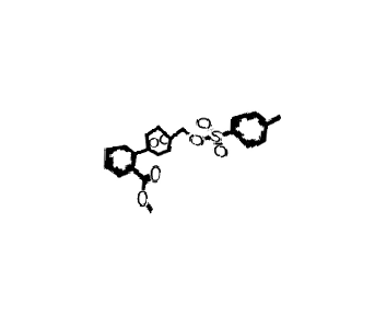 COC(=O)c1ccccc1C12CCC(COS(=O)(=O)c3ccc(C)cc3)(CC1)CO2